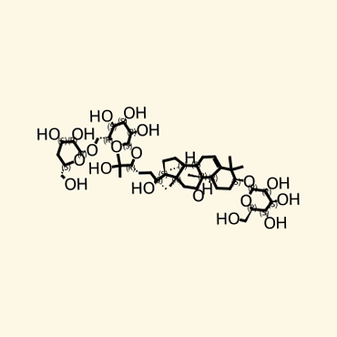 CC(C)(O)[C@@H](CC[C@](C)(O)[C@H]1CC[C@@]2(C)[C@@H]3CC=C4[C@@H](CC[C@H](O[C@@H]5O[C@H](CO)[C@@H](O)[C@H](O)[C@H]5O)C4(C)C)[C@]3(C)C(=O)C[C@]12C)O[C@@H]1O[C@H](CO[C@@H]2O[C@H](CO)C[C@H](O)[C@H]2O)[C@@H](O)[C@H](O)[C@H]1O